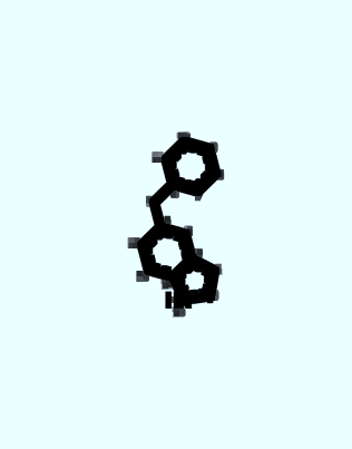 [c]1cc2cc(Cc3ccccc3)ccc2[nH]1